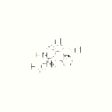 Cn1nc(-c2ccccn2)c2c1NCCSC2c1ccc(Cl)cc1Cl